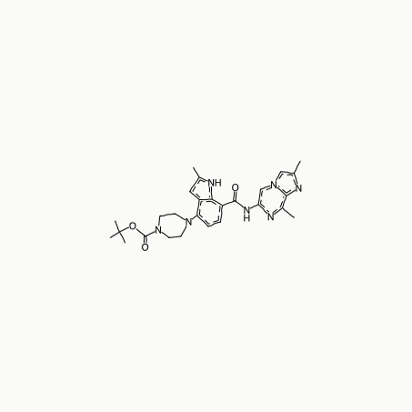 Cc1cn2cc(NC(=O)c3ccc(N4CCN(C(=O)OC(C)(C)C)CC4)c4cc(C)[nH]c34)nc(C)c2n1